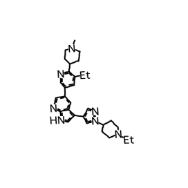 CCc1cc(-c2cnc3[nH]cc(-c4cnn(C5CCN(CC)CC5)c4)c3c2)cnc1C1CCN(C)CC1